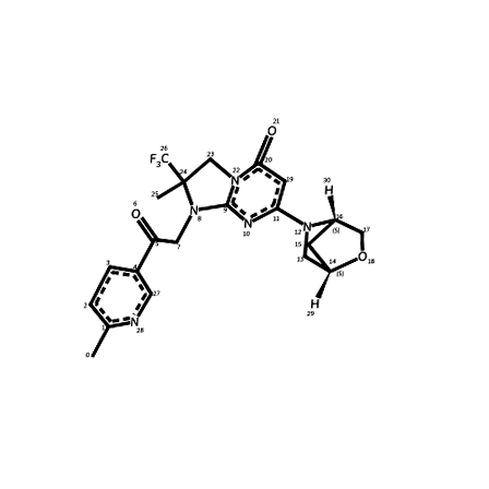 Cc1ccc(C(=O)CN2c3nc(N4C[C@@H]5C[C@H]4CO5)cc(=O)n3CC2(C)C(F)(F)F)cn1